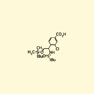 CC(C)(C)[S@+]([O-])NC(CO[Si](C)(C)C(C)(C)C)c1ccc(C(=O)O)cc1Cl